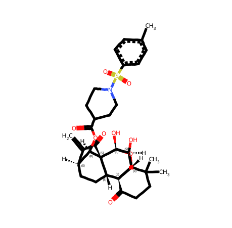 C=C1C(=O)[C@]23[C@H](OC(=O)C4CCN(S(=O)(=O)c5ccc(C)cc5)CC4)[C@H]1CC[C@H]2[C@@]12CO[C@]3(O)[C@@H](O)[C@@H]1C(C)(C)CCC2=O